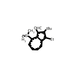 CCc1c2ccccc([SiH](C)C)c-2c(C=O)c1C(C)(C)C